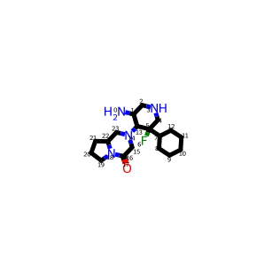 NC1CNCC(F)(C2CCCCC2)C1N1CC(=O)N2CCCC2C1